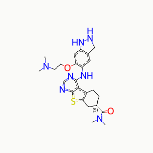 CN(C)CCOc1cc2c(cc1Nc1ncnc3sc4c(c13)CC[C@H](C(=O)N(C)C)C4)CNN2